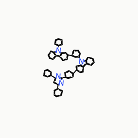 c1ccc(-c2cc(-c3ccccc3)nc(-c3ccc(-c4ccc5c6ccccc6n(-c6cccc(-c7ccc8c9ccccc9n(-c9ccccc9)c8c7)c6)c5c4)cc3)n2)cc1